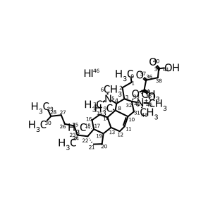 CCCC1C(N(C)C)[C@@]2(C)C(=CCC3C2CC[C@@]2(C)C3CC[C@@H]2[C@H](C)CCCC(C)C)C[C@]1(OC(=O)C(=O)CC(=O)O)[N+](C)(C)C.I